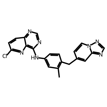 Cc1cc(Nc2ncnc3ccc(Cl)nc23)ccc1Cc1ccn2ncnc2c1